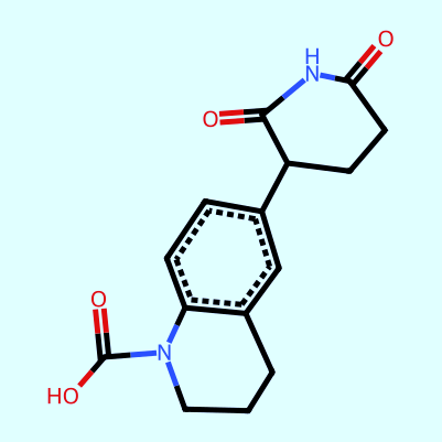 O=C1CCC(c2ccc3c(c2)CCCN3C(=O)O)C(=O)N1